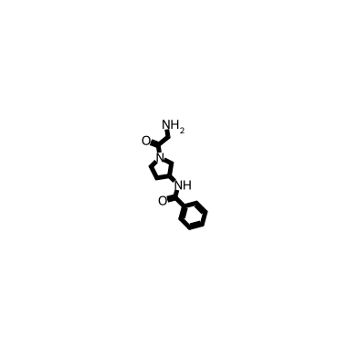 NCC(=O)N1CCC(NC(=O)c2ccccc2)C1